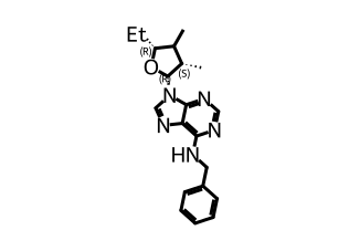 CC[C@H]1O[C@@H](n2cnc3c(NCc4ccccc4)ncnc32)[C@@H](C)C1C